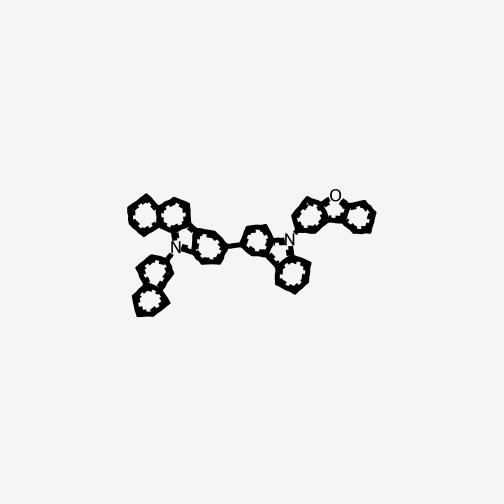 c1ccc2cc(-n3c4ccc(-c5ccc6c(c5)c5ccccc5n6-c5ccc6oc7ccccc7c6c5)cc4c4ccc5ccccc5c43)ccc2c1